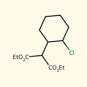 CCOC(=O)C(C(=O)OCC)C1CCCCC1Cl